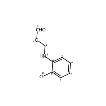 O=CO[CH]Nc1ccccc1Cl